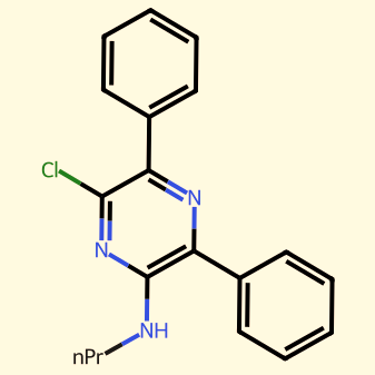 CCCNc1nc(Cl)c(-c2ccccc2)nc1-c1ccccc1